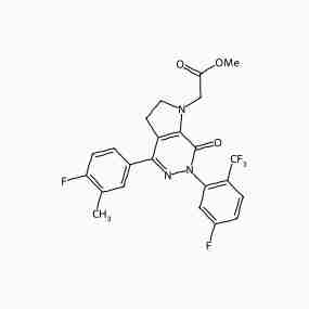 COC(=O)CN1CCc2c(-c3ccc(F)c(C)c3)nn(-c3cc(F)ccc3C(F)(F)F)c(=O)c21